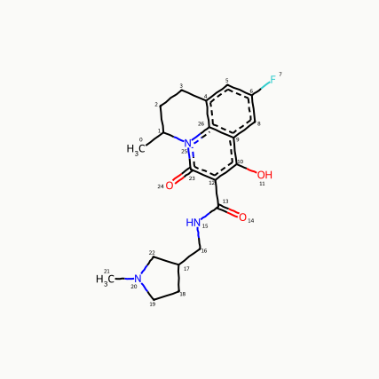 CC1CCc2cc(F)cc3c(O)c(C(=O)NCC4CCN(C)C4)c(=O)n1c23